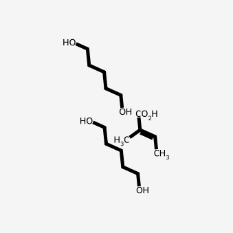 CC=C(C)C(=O)O.OCCCCCO.OCCCCCO